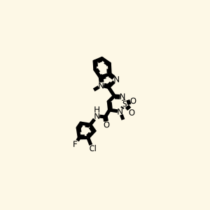 CN1C(C(=O)Nc2ccc(F)c(Cl)c2)=CC(c2nc3ccccc3n2C)=NS1(=O)=O